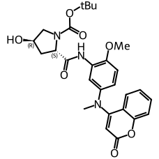 COc1ccc(N(C)c2cc(=O)oc3ccccc23)cc1NC(=O)[C@@H]1C[C@@H](O)CN1C(=O)OC(C)(C)C